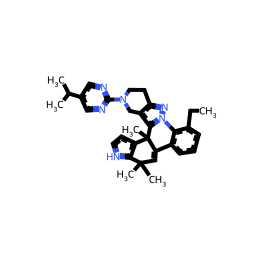 CCc1cccc2c1-n1nc3c(c1C1(C)C2=CC(C)(C)c2[nH]ccc21)CN(c1ncc(C(C)C)cn1)CC3